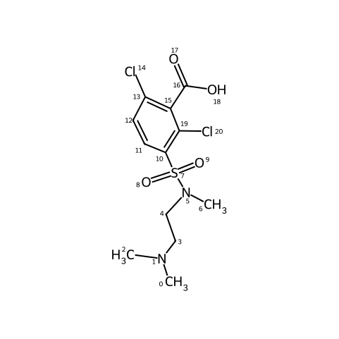 CN(C)CCN(C)S(=O)(=O)c1ccc(Cl)c(C(=O)O)c1Cl